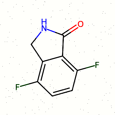 O=C1NCc2c(F)ccc(F)c21